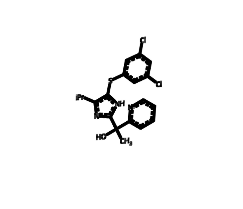 CC(C)c1nc(C(C)(O)c2ccccn2)[nH]c1Sc1cc(Cl)cc(Cl)c1